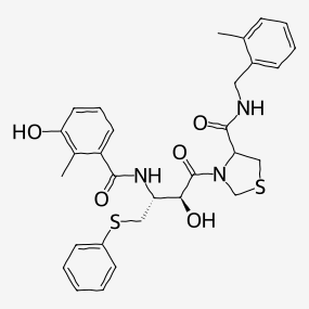 Cc1ccccc1CNC(=O)C1CSCN1C(=O)[C@@H](O)[C@H](CSc1ccccc1)NC(=O)c1cccc(O)c1C